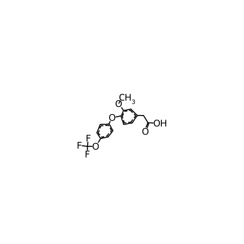 COc1cc(CC(=O)O)ccc1Oc1ccc(OC(F)(F)F)cc1